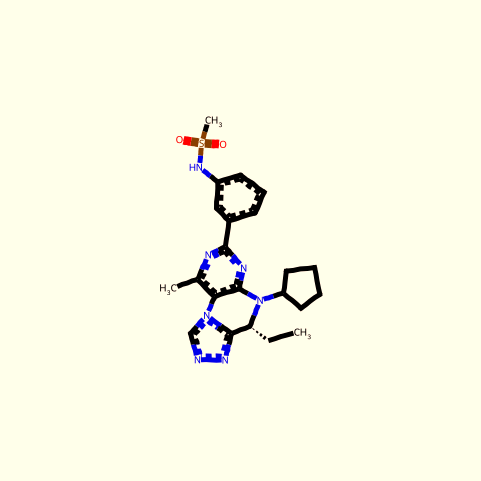 CC[C@@H]1c2nncn2-c2c(C)nc(-c3cccc(NS(C)(=O)=O)c3)nc2N1C1CCCC1